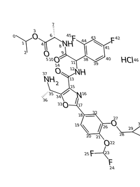 CC(C)OC(=O)[C@H](C)NC(=O)C(NC(=O)c1nc(-c2ccc(OC(F)F)c(OCC3CC3)c2)oc1[C@H](C)N)c1ccc(F)cc1F.Cl